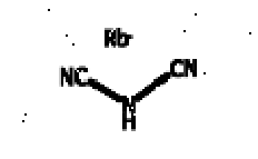 N#CNC#N.[Rb]